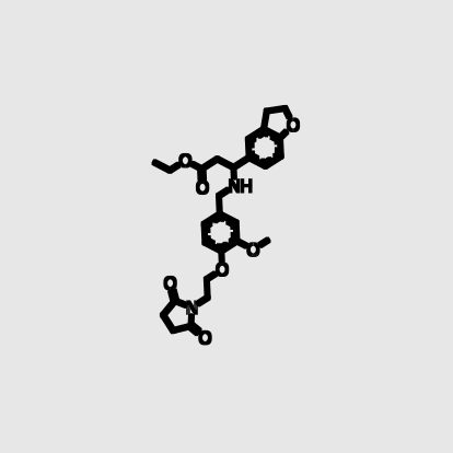 CCOC(=O)CC(NCc1ccc(OCCN2C(=O)CCC2=O)c(OC)c1)c1ccc2c(c1)CCO2